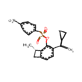 C=C(c1ccc2c(c1OS(=O)(=O)c1ccc([N+](=O)[O-])cc1)[C@@H](C)C2)C1CC1